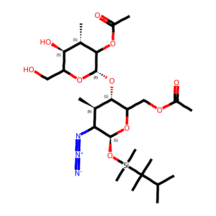 CC(=O)OCC1O[C@@H](O[Si](C)(C)C(C)(C)C(C)C)C(N=[N+]=[N-])[C@@H](C)[C@@H]1O[C@@H]1OC(CO)[C@@H](O)[C@H](C)C1OC(C)=O